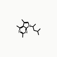 Cc1nc(C)c2c(C)cn(C(C)CC(C)C)c2n1